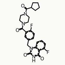 O=C(c1cc(Cn2c(=O)[nH]c(=O)c3c(F)cccc32)ccc1F)N1CCN(C(=O)C2CCCC2)CC1